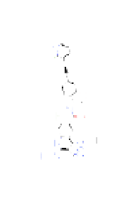 CN(C(=O)c1cc2c(cc1F)nc(N)c1cnn(C)c12)[C@@H]1COc2cc(C#Cc3cccnc3F)ccc21